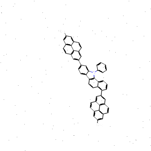 CC(C)(C)c1cc2ccc3cc(-c4ccc5c6ccc7c(-c8cc9ccc%10cc(C(C)(C)C)cc%11ccc(c8)c9c%10%11)cccc7c6n(-c6ccccc6)c5c4)cc4ccc(c1)c2c34